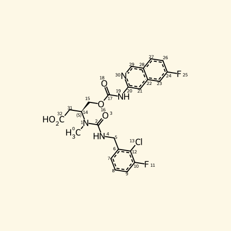 CN(C(=O)NCc1cccc(F)c1Cl)[C@H](COC(=O)Nc1cc2cc(F)ccc2cn1)CC(=O)O